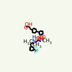 CN(C[C@H](O)CNC(C)(C)Cc1cccc(C(F)(F)F)c1)S(=O)(=O)c1cccc(-c2ccc(CCC(=O)O)cc2)c1